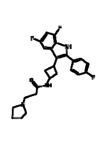 O=C(CCN1CCCC1)NC1CC(c2c(-c3ccc(F)cc3)[nH]c3c(F)cc(F)cc23)C1